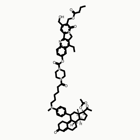 CCCC(=O)OCc1c(CO)cc2n(c1=O)Cc1c-2nc2ccc(OC(=O)N3CCN(C(=O)CCCCCN(C)c4ccc(C5C[C@@]6(C)[C@@H](CC[C@]6(OC(C)=O)C(C)=O)[C@@H]6CCC7=CC(=O)CCC7=C56)cc4)CC3)cc2c1CC